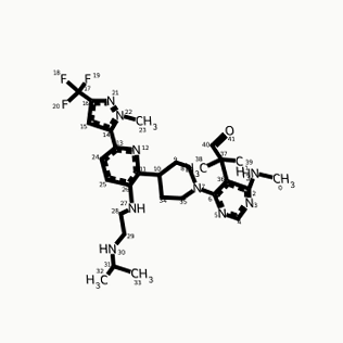 CNc1ncnc(N2CCC(c3nc(-c4cc(C(F)(F)F)nn4C)ccc3NCCNC(C)C)CC2)c1C(C)(C)C=O